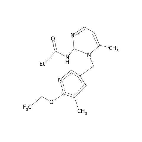 CCC(=O)NC1N=CC=C(C)N1Cc1cnc(OCC(F)(F)F)c(C)c1